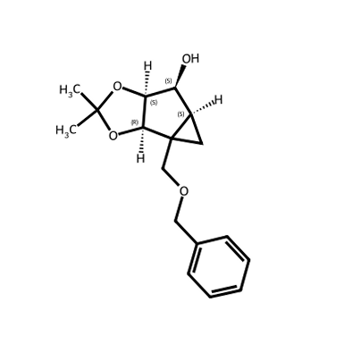 CC1(C)O[C@H]2[C@@H](O)[C@H]3CC3(COCc3ccccc3)[C@H]2O1